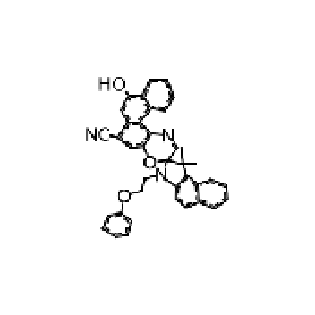 CC1(C)c2c(ccc3ccccc23)N(CCOc2ccccc2)C12C=Nc1c(cc(C#N)c3cc(O)c4ccccc4c13)O2